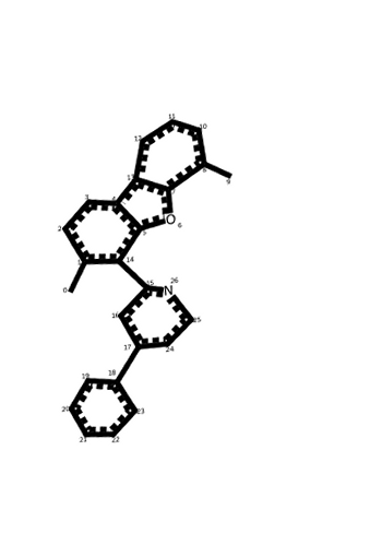 Cc1ccc2c(oc3c(C)cccc32)c1-c1cc(-c2ccccc2)ccn1